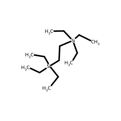 CC[Si](CC)(CC)CC[Si](CC)(CC)CC